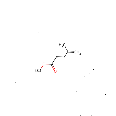 C=C(C)C=CC(=O)OC(C)(C)C